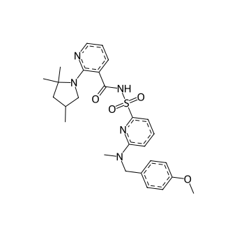 COc1ccc(CN(C)c2cccc(S(=O)(=O)NC(=O)c3cccnc3N3CC(C)CC3(C)C)n2)cc1